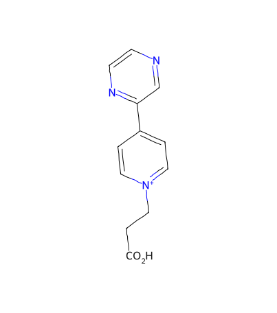 O=C(O)CC[n+]1ccc(-c2cnccn2)cc1